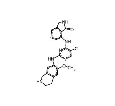 COc1cc2c(cc1Nc1ncc(Cl)c(Nc3cccc4c3C(=O)NC4)n1)CNCC2